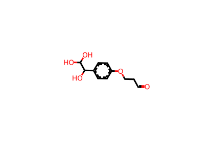 O=CCCOc1ccc(C(O)C(O)O)cc1